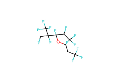 FCC(F)(C(F)(F)F)C(F)(OCCC(F)(F)F)C(F)C(F)(F)F